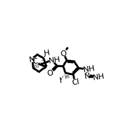 COC1=CC(NN=N)=C(Cl)[C@H](I)C1C(=O)N[C@@H]1CN2CCC1CC2